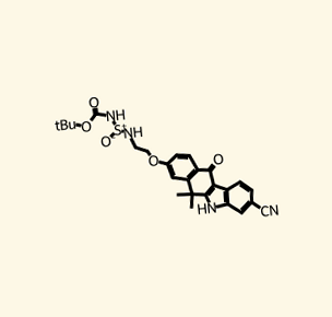 CC(C)(C)OC(=O)N[S+]([O-])NCCOc1ccc2c(c1)C(C)(C)c1[nH]c3cc(C#N)ccc3c1C2=O